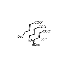 CCCCCCCCCCCC=CC(=O)[O-].CCCCCCCCCCCC=CC(=O)[O-].CCCCCCCCCCCC=CC(=O)[O-].[Sc+3]